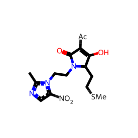 CSCCC1C(O)=C(C(C)=O)C(=O)N1CCn1c([N+](=O)[O-])cnc1C